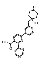 O=C(O)c1ccc(-c2cccc(CC3(O)CCNCC3)c2)nc1-c1ccncn1